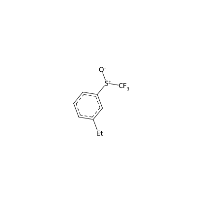 CCc1cccc([S+]([O-])C(F)(F)F)c1